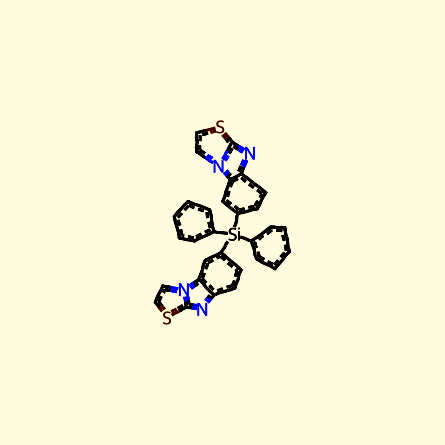 c1ccc([Si](c2ccccc2)(c2ccc3nc4sccn4c3c2)c2ccc3nc4sccn4c3c2)cc1